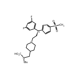 CC(C)(C)N(CC1CCN(CC[C@H](c2ccc(S(C)(=O)=O)cc2)c2cc(F)cc(F)c2)CC1)C(=O)O